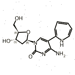 Nc1nc(=O)n([C@H]2C[C@H](O)[C@@H](CO)O2)cc1C1=CC=CC=CN1